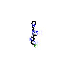 N=C/C(=C\NCCCN1CCCCC1)c1cnc2c(c1)NC(Cl)C=C2